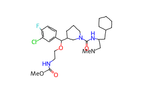 CNCC(CC1CCCCC1)NC(=O)N1CCCC(C(OCCNC(=O)OC)c2ccc(F)c(Cl)c2)C1